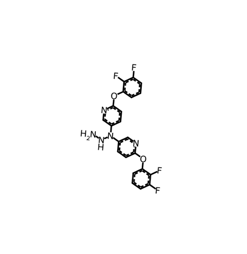 NNN(c1ccc(Oc2cccc(F)c2F)nc1)c1ccc(Oc2cccc(F)c2F)nc1